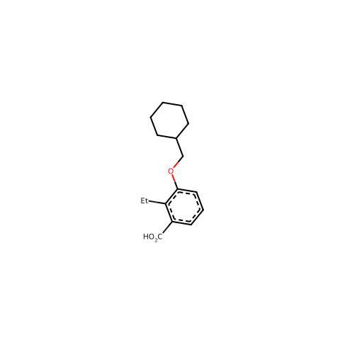 CCc1c(OCC2CCCCC2)cccc1C(=O)O